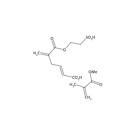 C=C(C)C(=O)OC.C=C(CC=CC(=O)O)C(=O)OCCS(=O)(=O)O